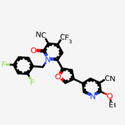 CCOc1ncc(-c2coc(-c3cc(C(F)(F)F)c(C#N)c(=O)n3Cc3ccc(F)cc3F)c2)cc1C#N